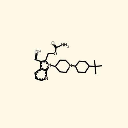 CC(C)(C)C1CCC(N2CCC(n3c(COC(N)=O)c(C=N)c4cccnc43)CC2)CC1